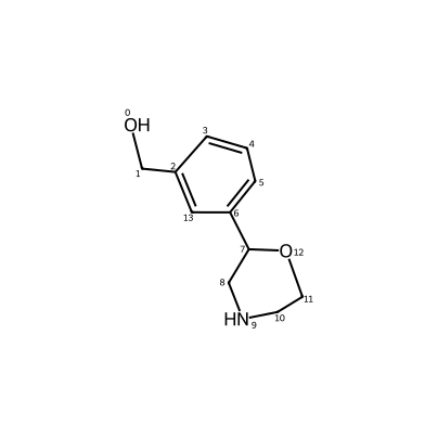 OCc1cccc(C2CNCCO2)c1